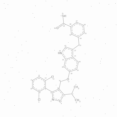 CC(C)c1onc(-c2c(Cl)cccc2Cl)c1COc1ccc2c(Cc3cccc(C(=O)O)c3)c[nH]c2c1